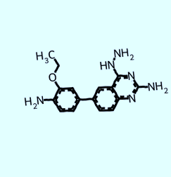 CCOc1cc(-c2ccc3nc(N)nc(NN)c3c2)ccc1N